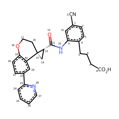 N#Cc1ccc(CCCC(=O)O)c(NC(=O)[C@@H]2C[C@]23CCOc2ccc(-c4ccccn4)cc23)c1